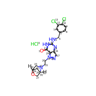 Cl.O=c1[nH]c(NCc2ccc(Cl)c(Cl)c2)nc2cnn(CCN3C[C@@H]4C[C@H]3CO4)c12